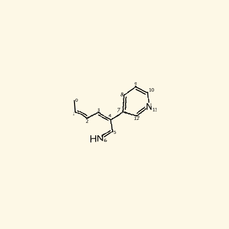 C/C=C\C=C(/C=N)c1cccnc1